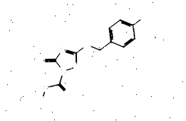 CNC(=O)n1sc(OCc2ccc(Cl)cc2)nc1=O